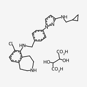 Clc1ccc2c(c1NCc1ccc(-n3ccc(NCC4CC4)n3)cc1)CCNCC2.O=C(O)C(O)C(O)C(=O)O